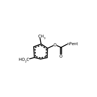 CCCCCC(=O)Oc1ccc(C(=O)O)cc1C